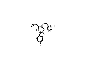 O=C(CC1CC1)N1CCc2[nH]cnc2[C@H]1c1nc2ccc(F)cc2s1